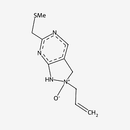 C=CC[N+]1([O-])Cc2cnc(CSC)nc2N1